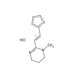 CN1CCCN=C1/C=C/c1cccs1.Cl